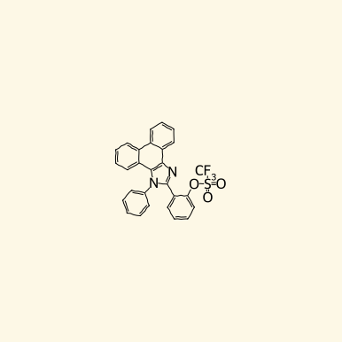 O=S(=O)(Oc1ccccc1-c1nc2c3ccccc3c3ccccc3c2n1-c1ccccc1)C(F)(F)F